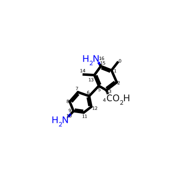 Cc1cc(C(=O)O)c(-c2ccc(N)cc2)c(C)c1N